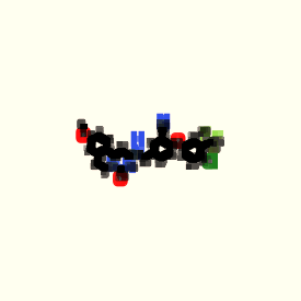 COc1ccc2c(c1)CCn1c-2cc(NCc2ccc(Oc3ccc(Cl)c(C(F)(F)F)c3)c(C#N)c2)nc1=O